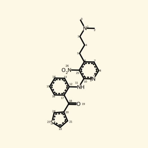 CN(C)CCCc1ccnc(Nc2ccccc2C(=O)c2ccsc2)c1[N+](=O)[O-]